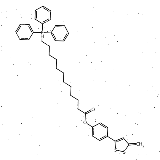 C=C1C=C(c2ccc(OC(=O)CCCCCCCCCCC[PH](c3ccccc3)(c3ccccc3)c3ccccc3)cc2)SS1